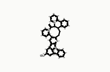 C=C1C2C(CCc3nc4c(cc3-c3cccc[n+]31)c1cc(C(C)(C)C)cc3c5ccccc5n4c31)c1ccccc1-c1cccc[n+]12